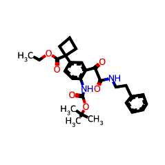 CCOC(=O)C1(c2ccc(NC(=O)OC(C)(C)C)c(C(=O)C(=O)NCCc3ccccc3)c2)CCC1